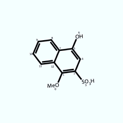 COc1c(S(=O)(=O)O)cc(O)c2ccccc12